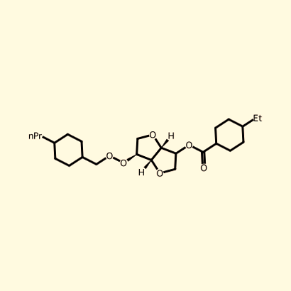 CCCC1CCC(COO[C@H]2CO[C@@H]3C(OC(=O)C4CCC(CC)CC4)CO[C@H]23)CC1